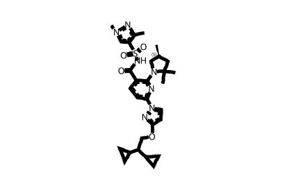 Cc1nn(C)cc1S(=O)(=O)NC(=O)c1ccc(-n2ccc(OCC(C3CC3)C3CC3)n2)nc1N1C[C@@H](C)CC1(C)C